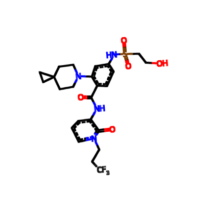 O=C(Nc1cccn(CCC(F)(F)F)c1=O)c1ccc(NS(=O)(=O)CCO)cc1N1CCC2(CC1)CC2